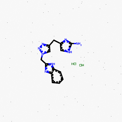 Cl.Cl.Nc1nc(Cc2cn(Cc3nc4ccccc4[nH]3)nn2)c[nH]1